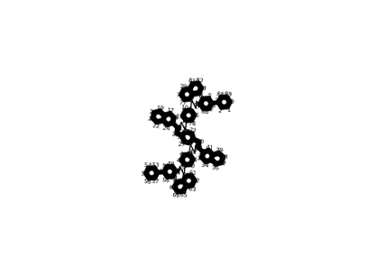 c1ccc(-c2ccc(N(c3ccc(-n4c(-c5ccc6ccccc6c5)cc5cc6c(cc(-c7ccc8ccccc8c7)n6-c6ccc(N(c7ccc(-c8ccccc8)cc7)c7cccc8ccccc78)cc6)cc54)cc3)c3cccc4ccccc34)cc2)cc1